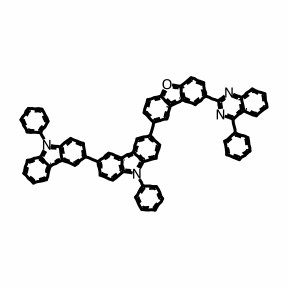 c1ccc(-c2nc(-c3ccc4oc5ccc(-c6ccc7c(c6)c6cc(-c8ccc9c(c8)c8ccccc8n9-c8ccccc8)ccc6n7-c6ccccc6)cc5c4c3)nc3ccccc23)cc1